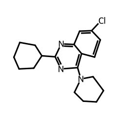 Clc1ccc2c(N3CCCCC3)nc(C3CCCCC3)nc2c1